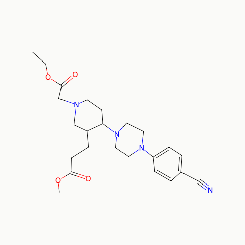 CCOC(=O)CN1CCC(N2CCN(c3ccc(C#N)cc3)CC2)C(CCC(=O)OC)C1